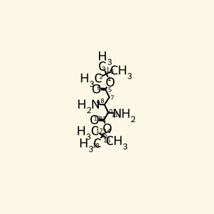 CC(C)(C)OC(=O)CC(N)C(N)C(=O)OC(C)(C)C